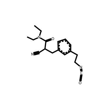 CCN(CC)C(=O)C(C#N)Cc1cccc(CCN=C=O)c1